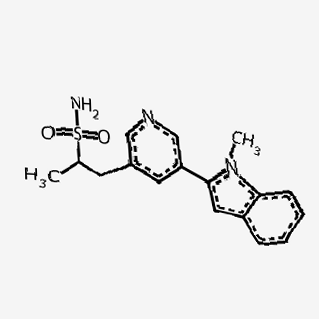 CC(Cc1cncc(-c2cc3ccccc3n2C)c1)S(N)(=O)=O